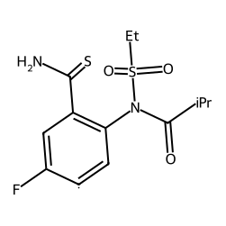 CCS(=O)(=O)N(C(=O)C(C)C)c1c[c]c(F)cc1C(N)=S